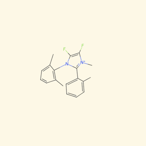 Cc1ccccc1-c1n(-c2c(C)cccc2C)c(F)c(F)[n+]1C